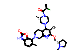 C=C(F)C(=O)N1CCN(c2c(C#N)c(OC[C@@H]3CCCN3C)nc3c2CCN(c2c(C)ccc4[nH]c(=O)oc24)C3)C[C@H]1C